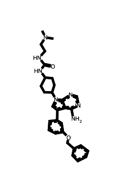 CN(C)CCNC(=O)NC1CCC(n2cc(-c3cccc(OCc4ccccc4)c3)c3c(N)ncnc32)CC1